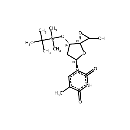 Cc1cn([C@H]2C[C@H](O[Si](C)(C)C(C)(C)C)[C@]3(OC3O)O2)c(=O)[nH]c1=O